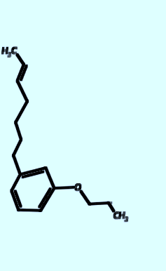 C[CH]COc1cccc(CCCCC=CC)c1